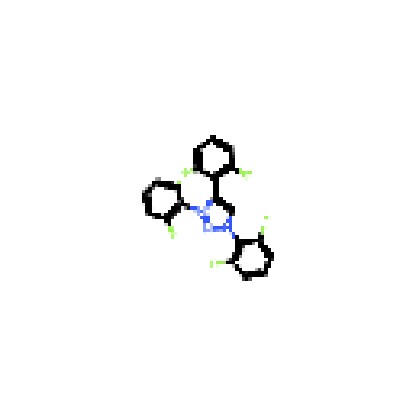 Fc1cccc(F)c1-c1cn(-c2c(F)cccc2F)n[n+]1-c1c(F)cccc1F